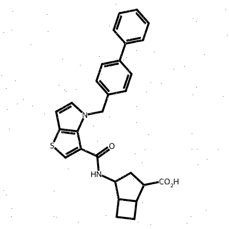 O=C(NC1CC(C(=O)O)C2CCC12)c1csc2ccn(Cc3ccc(-c4ccccc4)cc3)c12